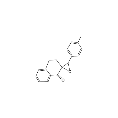 Cc1ccc(C2OC23CCc2ccccc2C3=O)cc1